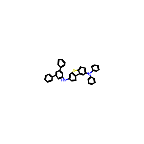 c1ccc(-c2cc(Nc3ccc4c(c3)sc3ccc(N(c5ccccc5)c5ccccc5)cc34)cc(-c3ccccc3)c2)cc1